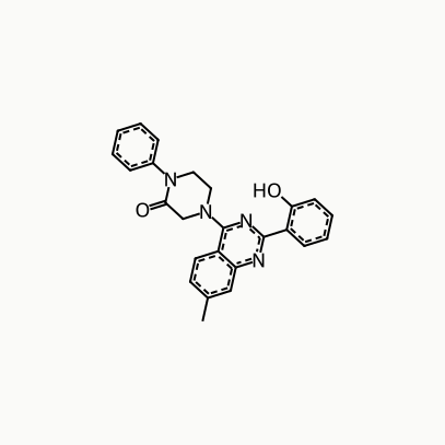 Cc1ccc2c(N3CCN(c4ccccc4)C(=O)C3)nc(-c3ccccc3O)nc2c1